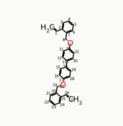 C=Cc1ccccc1COc1ccc(-c2ccc(OCc3ccccc3C=C)cc2)cc1